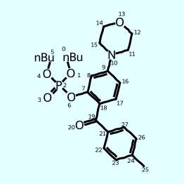 CCCCOP(=O)(OCCCC)Oc1cc(N2CCOCC2)ccc1C(=O)c1ccc(C)cc1